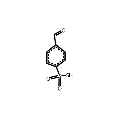 O=Cc1ccc(S(=O)(=O)S)cc1